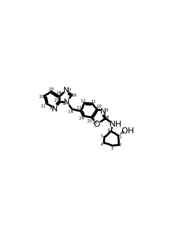 O[C@@H]1CCCC[C@H]1Nc1nc2ccc(Cn3cnc4cccnc43)cc2o1